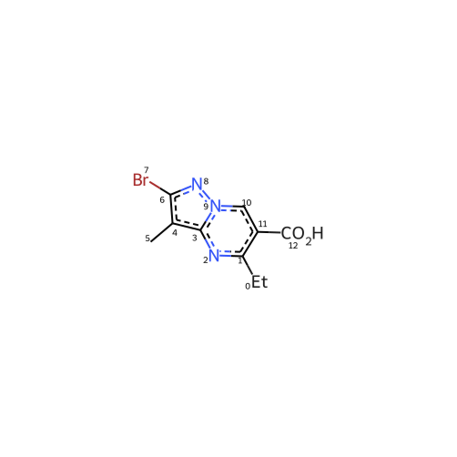 CCc1nc2c(C)c(Br)nn2cc1C(=O)O